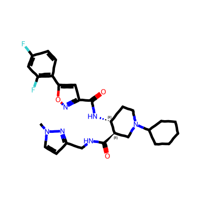 Cn1ccc(CNC(=O)[C@@H]2CN(C3CCCCC3)CC[C@H]2NC(=O)c2cc(-c3ccc(F)cc3F)on2)n1